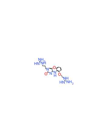 N=C(N)NCCCn1cc2c(nc1=O)Nc1c(OCCNC(=N)N)cccc1O2